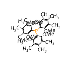 COc1c(C)c(C)c(C)c(OC)c1P(c1c(OC)c(C)c(C)c(C)c1OC)c1c(OC)c(C)c(C)c(C)c1OC